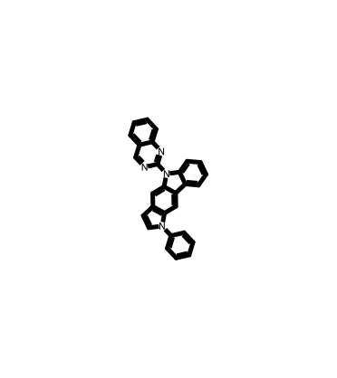 c1ccc(-n2ccc3cc4c(cc32)c2ccccc2n4-c2ncc3ccccc3n2)cc1